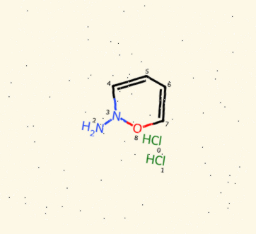 Cl.Cl.NN1C=CC=CO1